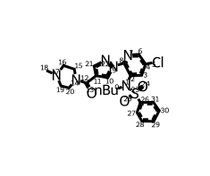 CCCCN(c1cc(Cl)cnc1-n1cc(C(=O)N2CCN(C)CC2)cn1)S(=O)(=O)c1ccccc1